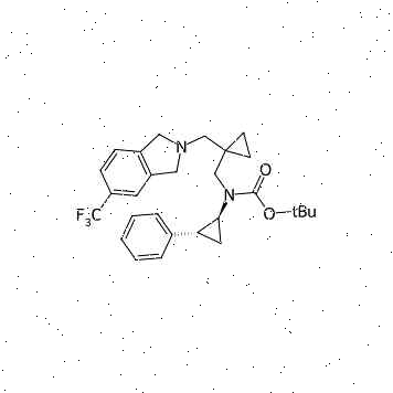 CC(C)(C)OC(=O)N(CC1(CN2Cc3ccc(C(F)(F)F)cc3C2)CC1)[C@H]1C[C@@H]1c1ccccc1